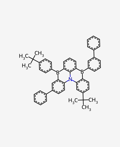 CC(C)(C)c1ccc(B2c3cc(-c4ccccc4)ccc3N3c4cc(C(C)(C)C)ccc4B(c4cccc(-c5ccccc5)c4)c4cccc2c43)cc1